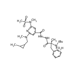 CC1CC1CN(C)c1cc(C(=O)NNC(=O)[C@@](C)(Cc2ccccc2)N(C(=O)O)C(C)(C)C)cc(N(C)S(C)(=O)=O)n1